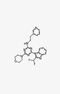 FC(F)c1nc2ccccc2n1-c1nc(NCCc2cccnc2)nc(N2CCOCC2)n1